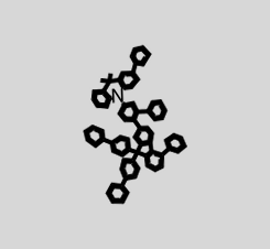 CC1(C)c2ccccc2N(c2ccc(-c3ccc4c(c3)C(c3ccc(-c5ccccc5)cc3)(c3ccc(-c5ccccc5)cc3)c3cccc(-c5ccccc5)c3-4)c(-c3ccccc3)c2)c2ccc(-c3ccccc3)cc21